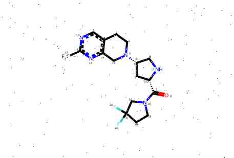 O=C([C@@H]1C[C@H](N2CCc3cnc(C(F)(F)F)nc3C2)CN1)N1CCC(F)(F)C1